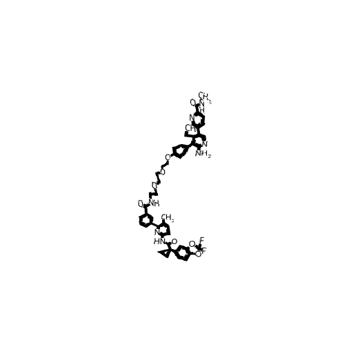 CCc1c(-c2ccc(C(=O)NC)nc2)cnc(N)c1-c1ccc(OCCOCCOCCNC(=O)c2cccc(-c3nc(NC(=O)C4(c5ccc6c(c5)OC(F)(F)O6)CC4)ccc3C)c2)cc1